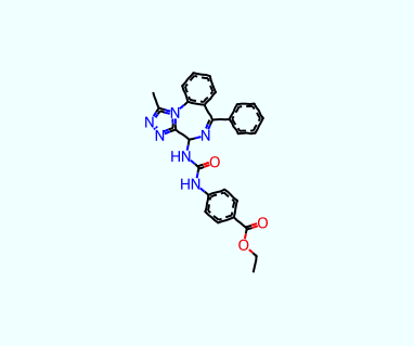 CCOC(=O)c1ccc(NC(=O)NC2N=C(c3ccccc3)c3ccccc3-n3c(C)nnc32)cc1